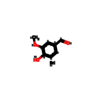 COc1cc(C=O)ccc1O.[Sn]